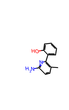 Cc1ccc(N)nc1-c1ccccc1O